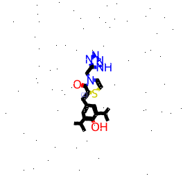 CC(C)c1cc(/C=C2\SC=CN(Cc3nnn[nH]3)C2=O)cc(C(C)C)c1O